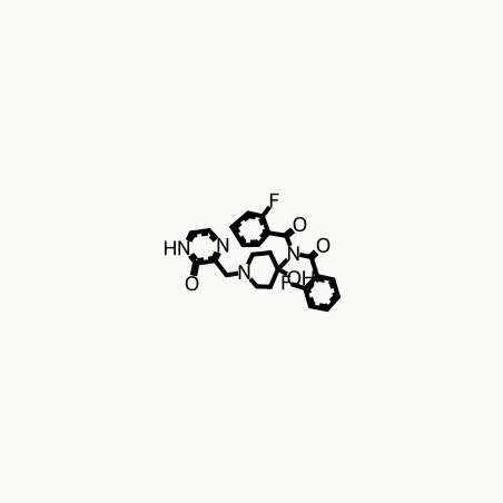 O=C(c1ccccc1F)N(C(=O)c1ccccc1F)C1(O)CCN(Cc2ncc[nH]c2=O)CC1